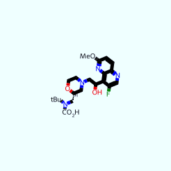 COc1ccc2ncc(F)c(C(O)CN3CCO[C@@H](CN(C(=O)O)C(C)(C)C)C3)c2n1